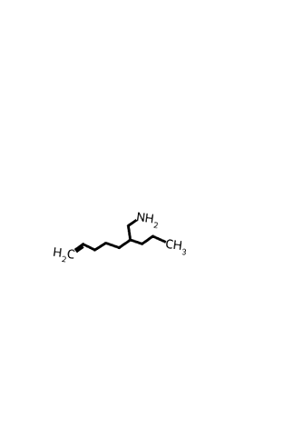 C=CCCCC(CN)CCC